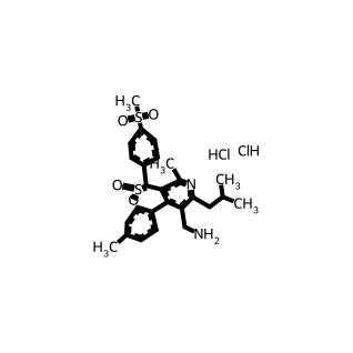 Cc1ccc(-c2c(CN)c(CC(C)C)nc(C)c2C(c2ccc(S(C)(=O)=O)cc2)=S(=O)=O)cc1.Cl.Cl